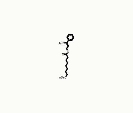 CCCCCCCCCCCCCCCCCC(=O)OCC=C(c1ccccc1)[N+](=O)[O-]